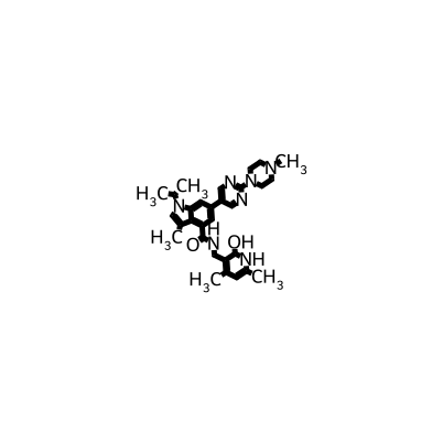 CC1=CC(C)=C(CNC(=O)c2cc(-c3cnc(N4CCN(C)CC4)nc3)cc3c2c(C)cn3C(C)C)C(O)N1